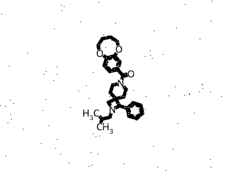 CC(C)CN1CC2(CCN(C(=O)c3ccc4c(c3)OCCCCO4)CC2)C1c1ccccc1